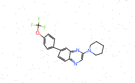 FC(F)(F)Oc1ccc(-c2ccc3ncc(N4CCCCC4)nc3c2)cc1